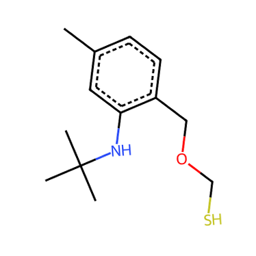 Cc1ccc(COCS)c(NC(C)(C)C)c1